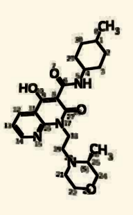 CC1CCC(NC(=O)c2c(O)c3cccnc3n(CCN3CCOC[C@@H]3C)c2=O)CC1